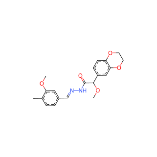 COc1cc(/C=N/NC(=O)C(OC)c2ccc3c(c2)OCCO3)ccc1C